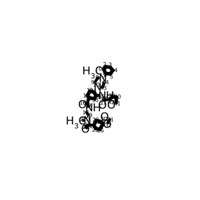 Cc1ccccc1N1CCN(c2ccc(C(=O)NCCN(C)C(=O)c3ccc4c(c3)OCO4)cc2NC(=O)c2ccco2)CC1